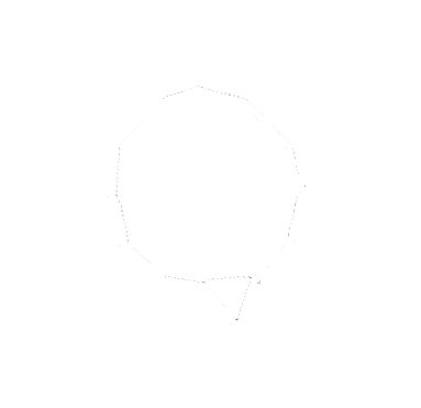 C1=C\OCC2CC2CCCCCC/1